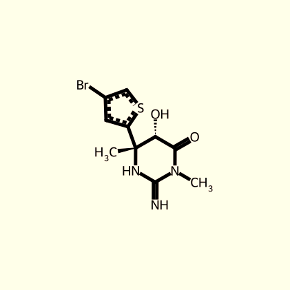 CN1C(=N)N[C@](C)(c2cc(Br)cs2)[C@H](O)C1=O